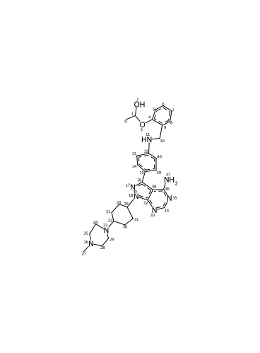 CC(O)Oc1ccccc1CNc1ccc(-c2nn(C3CCC(N4CCN(C)CC4)CC3)c3ncnc(N)c23)cc1